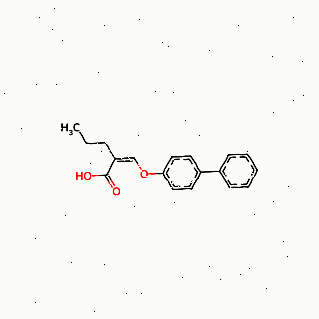 CCCC(=COc1ccc(-c2ccccc2)cc1)C(=O)O